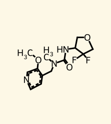 COc1cnccc1CN(C)C(=O)NC1COCC1(F)F